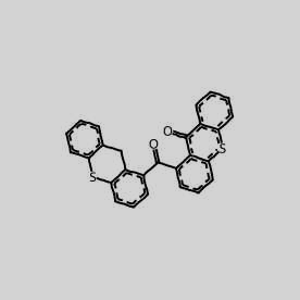 O=C(c1cccc2c1Cc1ccccc1S2)c1cccc2sc3ccccc3c(=O)c12